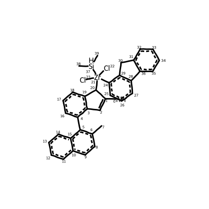 CCCC1=Cc2c(-c3c(C)ccc4ccccc34)cccc2[CH]1[Zr]([Cl])([Cl])([c]1cccc2c1Cc1ccccc1-2)[SiH](C)C